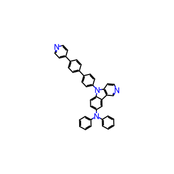 c1ccc(N(c2ccccc2)c2ccc3c(c2)c2cnccc2n3-c2ccc(-c3ccc(-c4ccncc4)cc3)cc2)cc1